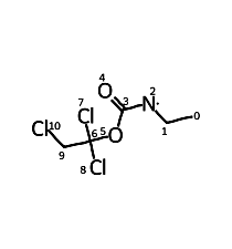 CC[N]C(=O)OC(Cl)(Cl)CCl